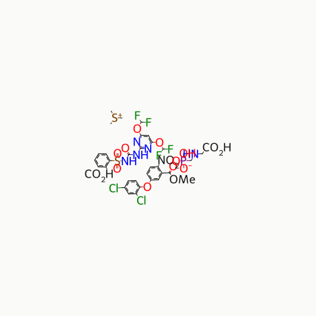 COC(=O)c1cc(Oc2ccc(Cl)cc2Cl)ccc1[N+](=O)[O-].C[S+](C)C.O=C(Nc1nc(OC(F)F)cc(OC(F)F)n1)NS(=O)(=O)c1ccccc1C(=O)O.O=C(O)CNCP(=O)([O-])O